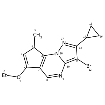 CCOC1=CC(C)c2c1cnc1c(Br)c(C3CC3)nn21